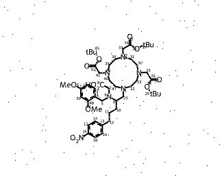 COc1ccc(CN(CC(=O)O)C(CCCc2ccc([N+](=O)[O-])cc2)CN2CCN(CC(=O)OC(C)(C)C)CCN(CC(=O)OC(C)(C)C)CCN(CC(=O)OC(C)(C)C)CC2)c(OC)c1